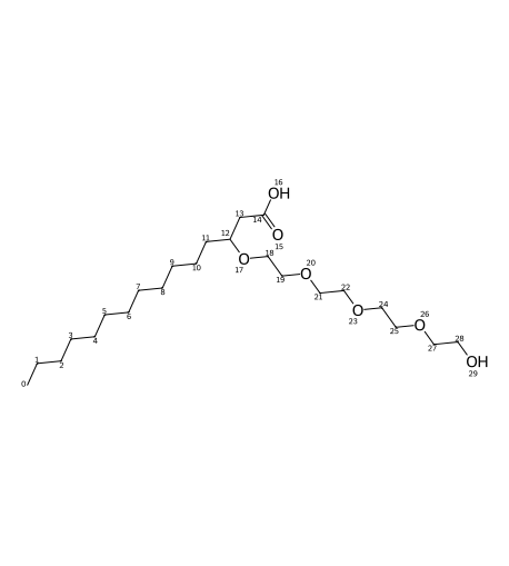 CCCCCCCCCCCCC(CC(=O)O)OCCOCCOCCOCCO